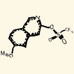 COc1ccc2cnc(OS(=O)(=O)C(F)(F)F)cc2c1